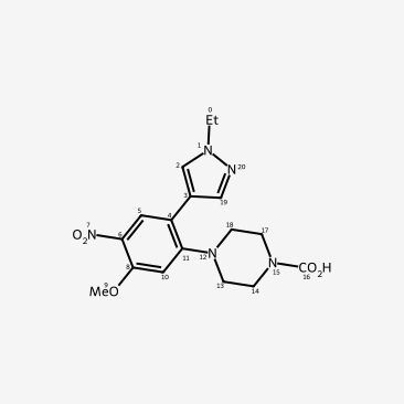 CCn1cc(-c2cc([N+](=O)[O-])c(OC)cc2N2CCN(C(=O)O)CC2)cn1